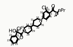 CCCN(C)C(=O)c1ccc(N2CCC(C3CCN(C(=O)[C@](O)(c4ccccc4)C(F)(F)F)CC3)CC2)cc1Cl